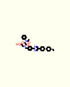 CC[C@H]1CC[C@H](C2CC=C(c3cnc(-c4ccc(CN(CC(=O)O)C(=O)CN(C(C)=O)c5ccccc5)cc4)nc3)CC2)CC1